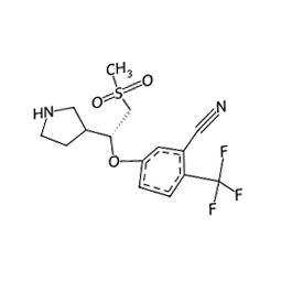 CS(=O)(=O)C[C@H](Oc1ccc(C(F)(F)F)c(C#N)c1)C1CCNC1